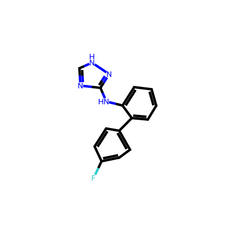 Fc1ccc(-c2ccccc2Nc2nc[nH]n2)cc1